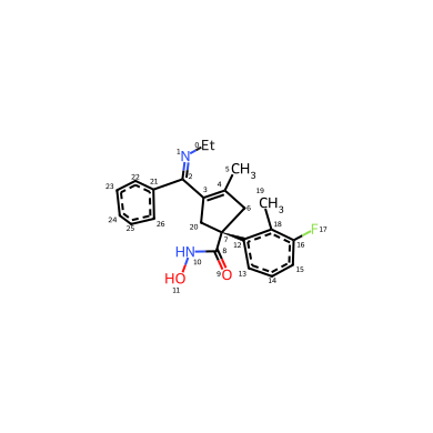 CC/N=C(\C1=C(C)C[C@@](C(=O)NO)(c2cccc(F)c2C)C1)c1ccccc1